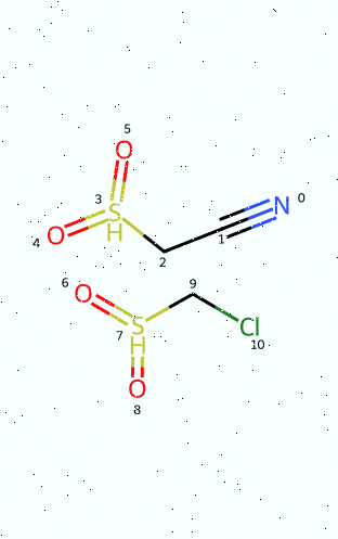 N#CC[SH](=O)=O.O=[SH](=O)CCl